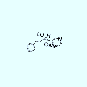 COC(CCCc1ccccc1)(C(=O)O)c1cccnc1